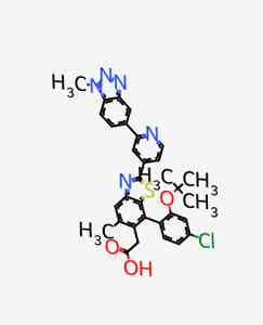 Cc1cc2nc(-c3ccnc(-c4ccc5c(c4)nnn5C)c3)sc2c(-c2ccc(Cl)cc2OC(C)(C)C)c1CC(=O)O